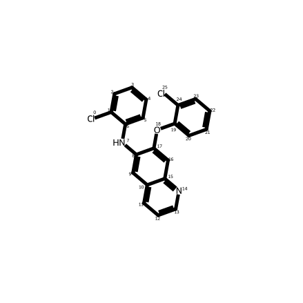 Clc1ccccc1Nc1cc2cccnc2cc1Oc1ccccc1Cl